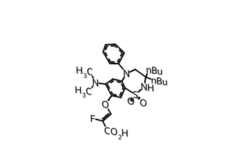 CCCCC1(CCCC)CN(c2ccccc2)c2cc(N(C)C)c(O/C=C(\F)C(=O)O)cc2S(=O)(=O)N1